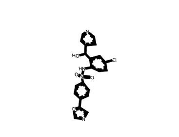 O=S(=O)(Nc1ccc(Cl)cc1C(O)c1ccncc1)c1ccc(-c2cnco2)cc1